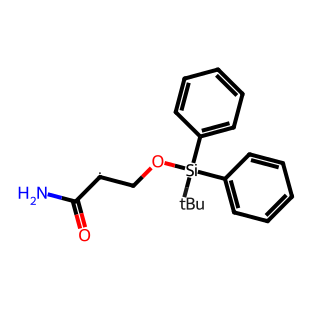 CC(C)(C)[Si](OC[CH]C(N)=O)(c1ccccc1)c1ccccc1